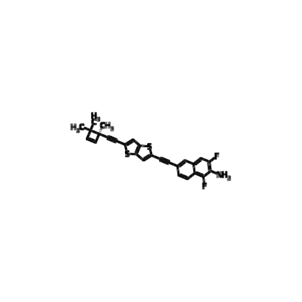 CC1(C)C=C[C@]1(C)C#Cc1cc2sc(C#Cc3ccc4c(F)c(N)c(F)cc4c3)cc2s1